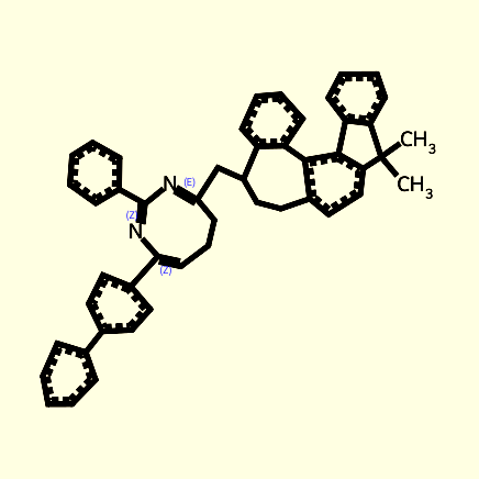 CC1(C)c2ccccc2-c2c1ccc1c2-c2ccccc2C(C/C2=N/C(c3ccccc3)=N\C(c3ccc(-c4ccccc4)cc3)=C/CC2)CC1